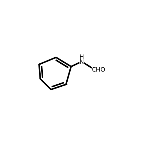 O=CNc1[c]cccc1